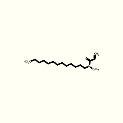 C=CC(=O)N(CCCCCCCCCCCCC(=O)O)OC